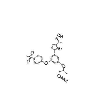 COC[C@H](C)Oc1cc(Oc2ccc(S(C)(=O)=O)cc2)cc(-c2ccc(C(C)=NO)[nH]2)c1